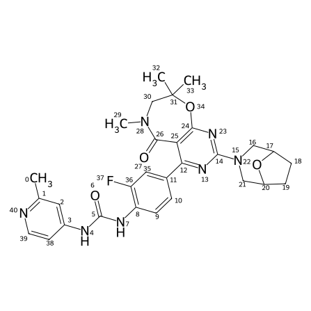 Cc1cc(NC(=O)Nc2ccc(-c3nc(N4CC5CCC(C4)O5)nc4c3C(=O)N(C)CC(C)(C)O4)cc2F)ccn1